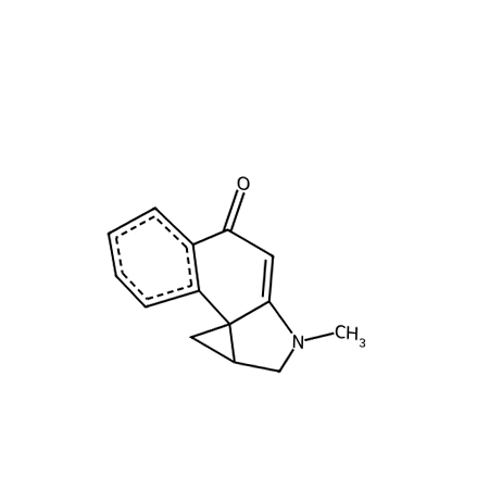 CN1CC2CC23C1=CC(=O)c1ccccc13